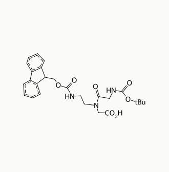 CC(C)(C)OC(=O)NCC(=O)N(CCNC(=O)OCC1c2ccccc2-c2ccccc21)CC(=O)O